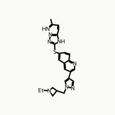 CCN1CC(Cn2cc(-c3cnc4ccc(Sc5nnc(/C=C\C(C)=N)[nH]5)cc4c3)cn2)C1